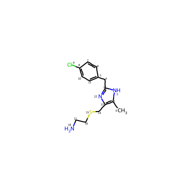 Cc1[nH]c(Cc2ccc(Cl)cc2)nc1CSCCN